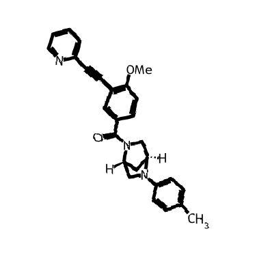 COc1ccc(C(=O)N2C[C@@H]3C[C@@H]2CN3c2ccc(C)cc2)cc1C#Cc1ccccn1